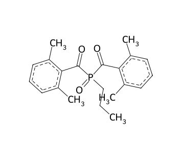 CCCP(=O)(C(=O)c1c(C)cccc1C)C(=O)c1c(C)cccc1C